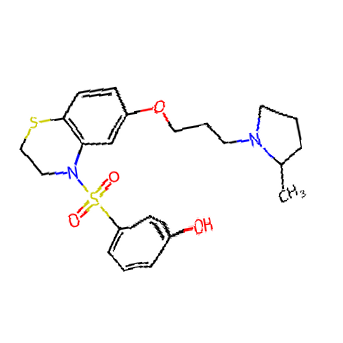 CC1CCCN1CCCOc1ccc2c(c1)N(S(=O)(=O)c1cccc(O)c1)CCS2